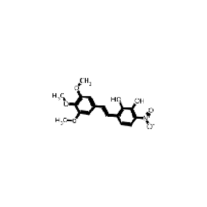 COc1cc(C=Cc2ccc([N+](=O)[O-])c(O)c2O)cc(OC)c1OC